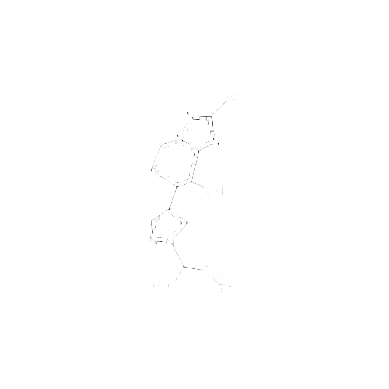 CCOC(C)n1cc(-c2ccn3nc(Br)nc3c2C)cn1